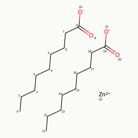 CCCCCCCCC(=O)[O-].CCCCCCCCC(=O)[O-].[Zn+2]